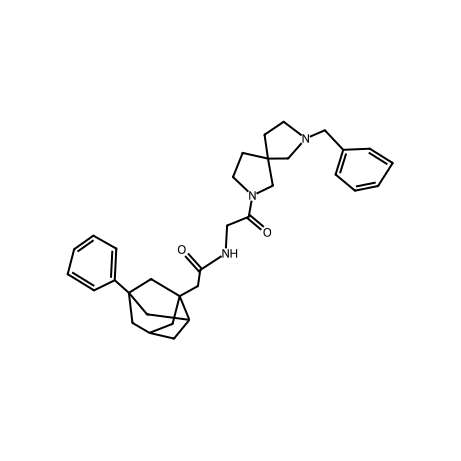 O=C(CC12CC3CC1CC(c1ccccc1)(C3)C2)NCC(=O)N1CCC2(CCN(Cc3ccccc3)C2)C1